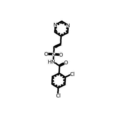 O=C(NS(=O)(=O)C=Cc1cncnc1)c1ccc(Cl)cc1Cl